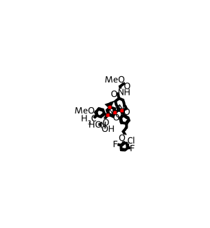 COC(=O)CNC(=O)C1CC2CC(c3ccc(CCCOc4c(F)ccc(F)c4Cl)cc3)=C(C(=O)N(Cc3ccc(OC)c(C)c3)C3CC3)C(C1)N2C(=O)Oc1cccc(CON(O)O)c1